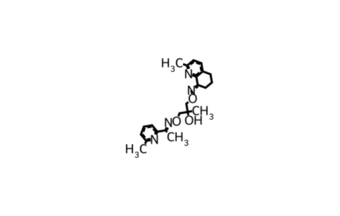 C/C(=N\OCC(C)(O)CO/N=C1\CCCc2ccc(C)nc21)c1cccc(C)n1